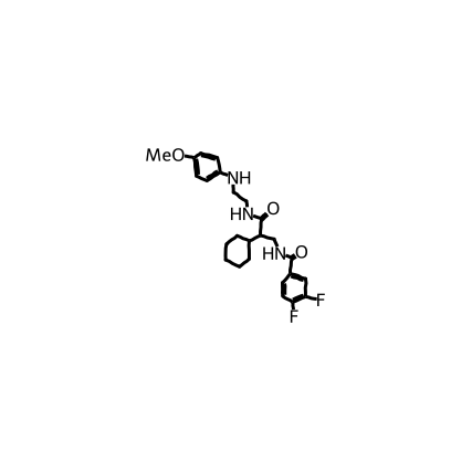 COc1ccc(NCCNC(=O)C(CNC(=O)c2ccc(F)c(F)c2)C2CCCCC2)cc1